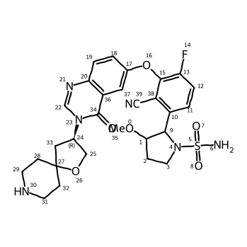 COC1CCN(S(N)(=O)=O)C1c1ccc(F)c(Oc2ccc3ncn([C@H]4COC5(CCNCC5)C4)c(=O)c3c2)c1C#N